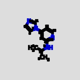 CC(C)Nc1cc(-n2ccnc2)ccn1